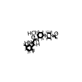 CC(=O)N1CCN([C@H]2CCC[C@@H](NC(=O)c3cc4c(F)ccc(C)c4[nH]3)C2)CC1.Cl